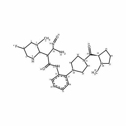 CN1CC(F)CNC1C(C(=O)Nc1cnccc1N1CCN(C(=O)[C@H]2CCCN2C)CC1)C(N)N=O